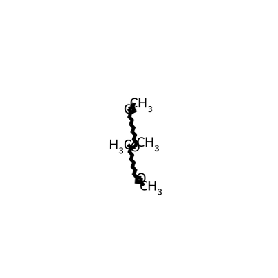 CC(CCCCCCCC1CC(C)O1)OC(C)CCCCCCCC1CC(C)O1